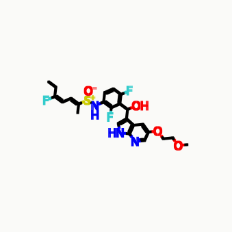 CC/C(F)=C\C=C(/C)[S+]([O-])Nc1ccc(F)c(C(O)c2c[nH]c3ncc(OCCOC)cc23)c1F